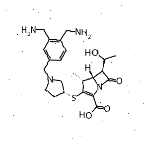 CC(O)[C@H]1C(=O)N2C(C(=O)O)=C(S[C@@H]3CCN(Cc4ccc(CN)c(CN)c4)C3)[C@H](C)[C@H]12